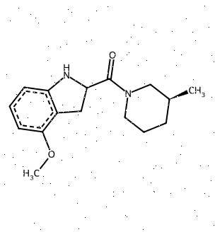 COc1cccc2c1CC(C(=O)N1CCC[C@H](C)C1)N2